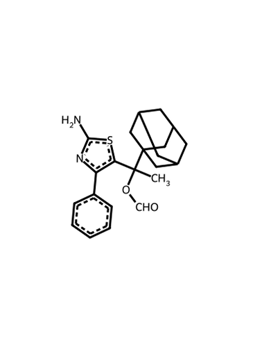 CC(OC=O)(c1sc(N)nc1-c1ccccc1)C12CC3CC(CC(C3)C1)C2